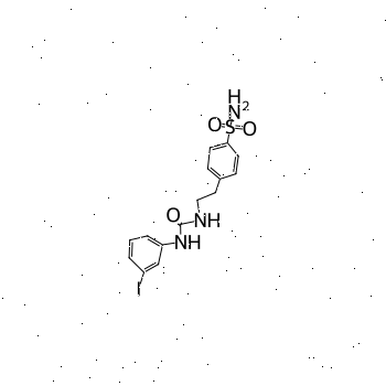 NS(=O)(=O)c1ccc(CCNC(=O)Nc2cccc(I)c2)cc1